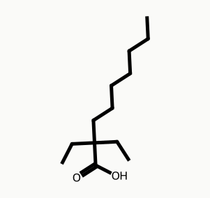 CCCCCCCC(CC)(CC)C(=O)O